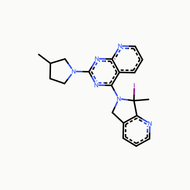 CC1CCN(c2nc(N3Cc4cccnc4C3(C)I)c3cccnc3n2)C1